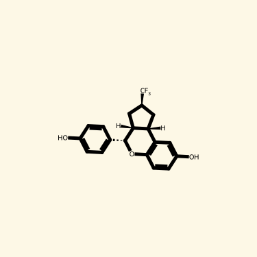 Oc1ccc([C@H]2Oc3ccc(O)cc3[C@H]3C[C@H](C(F)(F)F)C[C@H]32)cc1